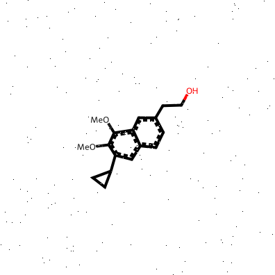 COc1c(C2CC2)cc2ccc(CCO)cc2c1OC